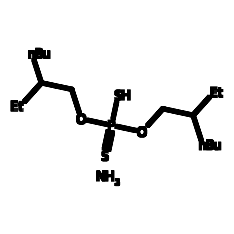 CCCCC(CC)COP(=S)(S)OCC(CC)CCCC.N